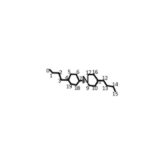 CCCCC1CCC(N2CCC(CCCC)CC2)CC1